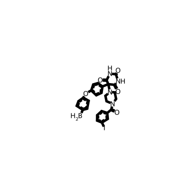 Bc1ccc(Oc2ccc(C3(N4CCN(C(=O)c5cccc(I)c5)CC4)C(=O)NC(=O)NC3=O)cc2)cc1